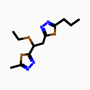 CCCc1nnc(CC(SCC)c2nnc(C)s2)s1